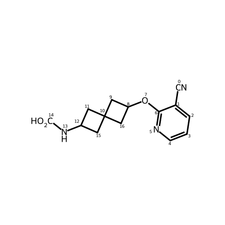 N#Cc1cccnc1OC1CC2(CC(NC(=O)O)C2)C1